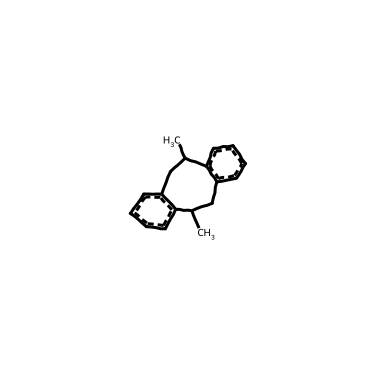 CC1Cc2ccccc2C(C)Cc2ccccc21